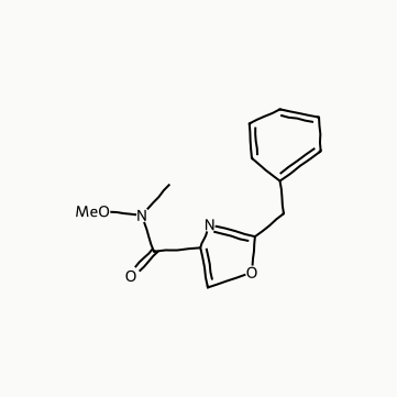 CON(C)C(=O)c1coc(Cc2ccccc2)n1